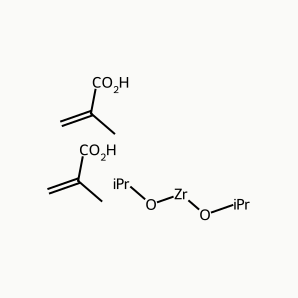 C=C(C)C(=O)O.C=C(C)C(=O)O.CC(C)[O][Zr][O]C(C)C